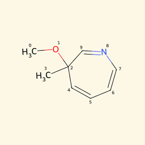 COC1(C)C=CC=CN=C1